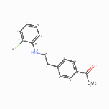 COC(=O)c1ccc(CCNc2ccccc2F)cc1